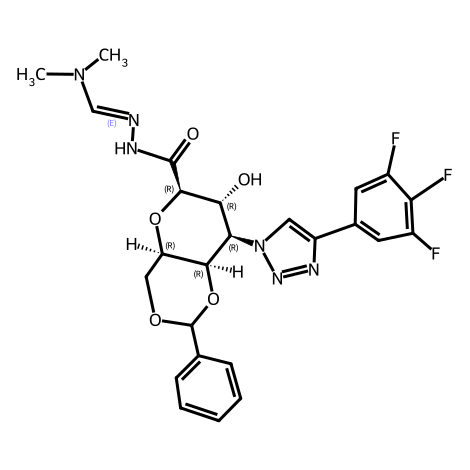 CN(C)/C=N/NC(=O)[C@@H]1O[C@@H]2COC(c3ccccc3)O[C@@H]2[C@H](n2cc(-c3cc(F)c(F)c(F)c3)nn2)[C@H]1O